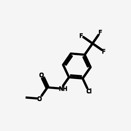 COC(=O)Nc1ccc(C(F)(F)F)cc1Cl